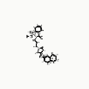 O=C1c2ccccc2S(O)(O)N1CCCN1CCC(Oc2ccc3ccccc3c2)C1